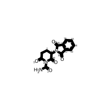 NC(=O)N1C(=O)[CH]CC(N2C(=O)c3ccccc3C2=O)C1=O